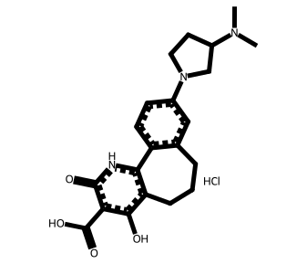 CN(C)C1CCN(c2ccc3c(c2)CCCc2c-3[nH]c(=O)c(C(=O)O)c2O)C1.Cl